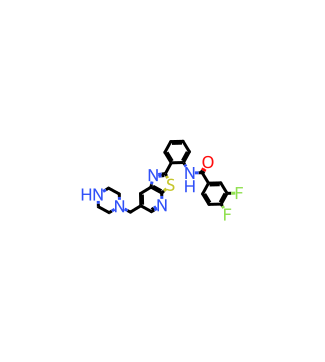 O=C(Nc1ccccc1-c1nc2cc(CN3CCNCC3)cnc2s1)c1ccc(F)c(F)c1